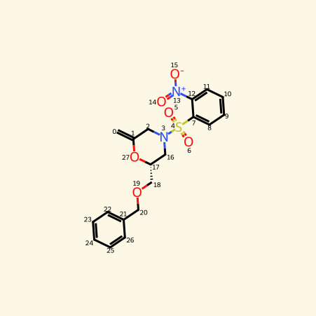 C=C1CN(S(=O)(=O)c2ccccc2[N+](=O)[O-])C[C@H](COCc2ccccc2)O1